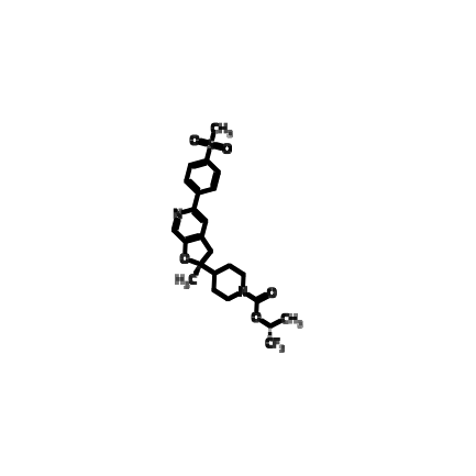 C[C@@H](OC(=O)N1CCC([C@@]2(C)Cc3cc(-c4ccc(S(C)(=O)=O)cc4)ncc3O2)CC1)C(F)(F)F